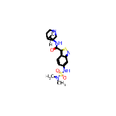 CN(C)S(=O)(=O)Nc1ccc2c(C(=O)N[C@@H]3CN4CCC3CC4)snc2c1